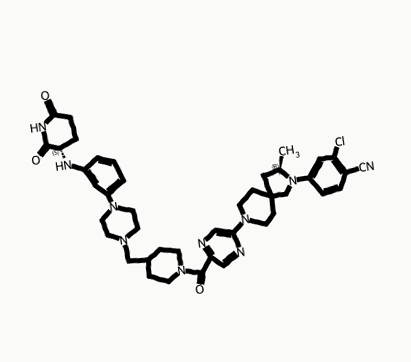 C[C@@H]1CC2(CCN(c3cnc(C(=O)N4CCC(CN5CCN(c6cccc(N[C@H]7CCC(=O)NC7=O)c6)CC5)CC4)cn3)CC2)CN1c1ccc(C#N)c(Cl)c1